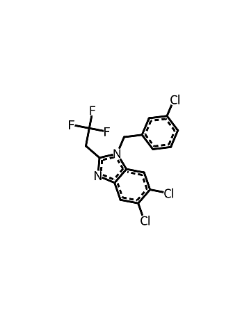 FC(F)(F)Cc1nc2cc(Cl)c(Cl)cc2n1Cc1cccc(Cl)c1